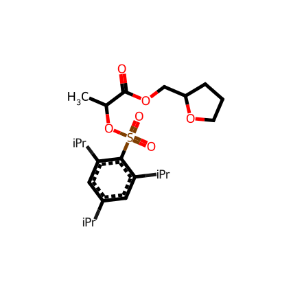 CC(OS(=O)(=O)c1c(C(C)C)cc(C(C)C)cc1C(C)C)C(=O)OCC1CCCO1